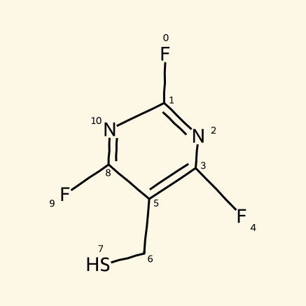 Fc1nc(F)c(CS)c(F)n1